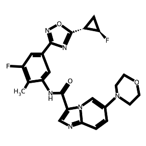 Cc1c(F)cc(-c2noc([C@@H]3C[C@H]3F)n2)cc1NC(=O)c1cnc2ccc(N3CCOCC3)cn12